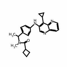 CC(c1ccc(Nc2cnc3cccnc3c2C2CC2)cc1)N(C)C(=O)C1CCC1